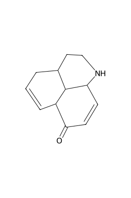 O=C1C=CC2NCCC3CC=CC1C32